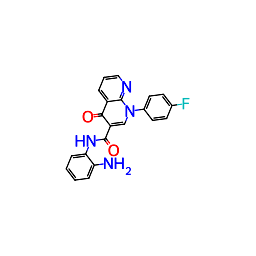 Nc1ccccc1NC(=O)c1cn(-c2ccc(F)cc2)c2ncccc2c1=O